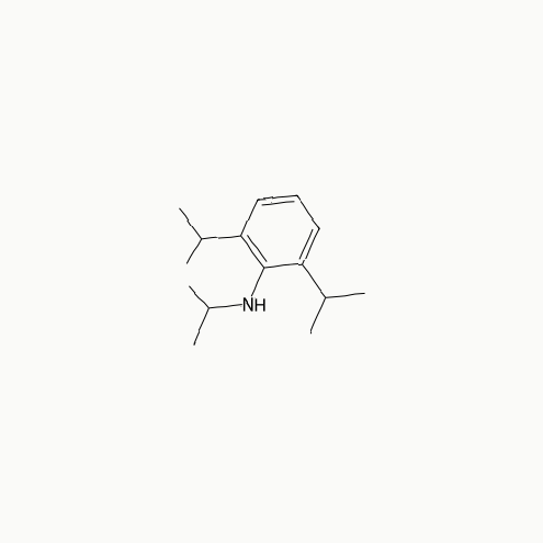 CC(C)Nc1c(C(C)C)cccc1C(C)C